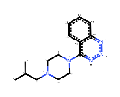 CC(C)CN1CCN(c2nnnc3ccccc23)CC1